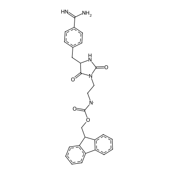 N=C(N)c1ccc(CC2NC(=O)N(CC[N]C(=O)OCC3c4ccccc4-c4ccccc43)C2=O)cc1